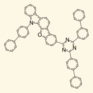 c1ccc(-c2ccc(-c3nc(-c4cccc(-c5ccccc5)c4)nc(-c4ccc5oc6c(ccc7c8ccccc8n(-c8ccc(-c9ccccc9)cc8)c76)c5c4)n3)cc2)cc1